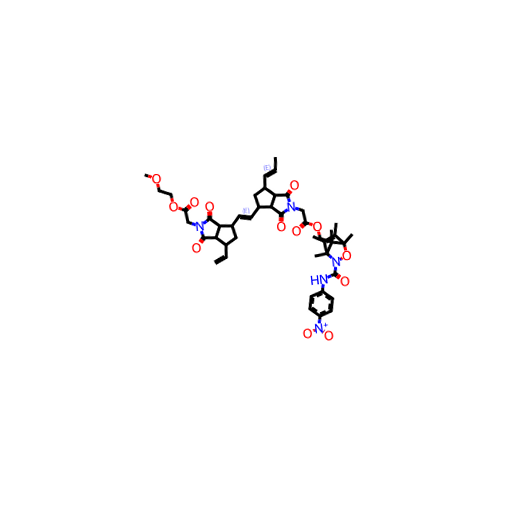 C=CC1CC(/C=C/C2CC(/C=C/C)C3C(=O)N(CC(=O)OCC4(C)C5(C)ON(C(=O)Nc6ccc([N+](=O)[O-])cc6)C4(C)C(C)=C5C)C(=O)C23)C2C(=O)N(CC(=O)OCCOC)C(=O)C12